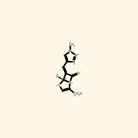 Cn1cc(/C=C2\C(=O)N3C(C(=O)O)=CS[C@H]23)nn1